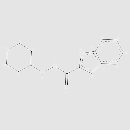 O=C([N]OC1CCOCC1)c1cc2ccccc2o1